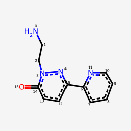 NCCn1nc(-c2ccccn2)ccc1=O